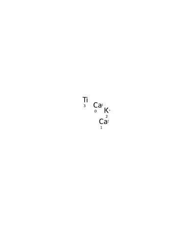 [Ca].[Ca].[K].[Ti]